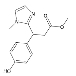 COC(=O)CC(c1ccc(O)cc1)c1nccn1C